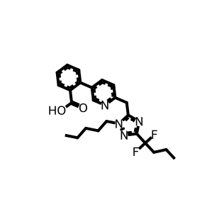 CCCCCn1nc(C(F)(F)CCC)nc1Cc1ccc(-c2ccccc2C(=O)O)cn1